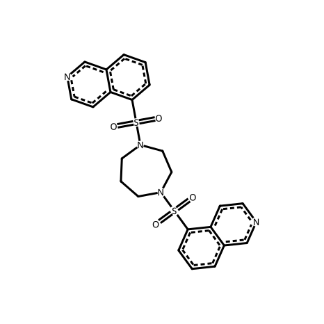 O=S(=O)(c1cccc2cnccc12)N1CCCN(S(=O)(=O)c2cccc3cnccc23)CC1